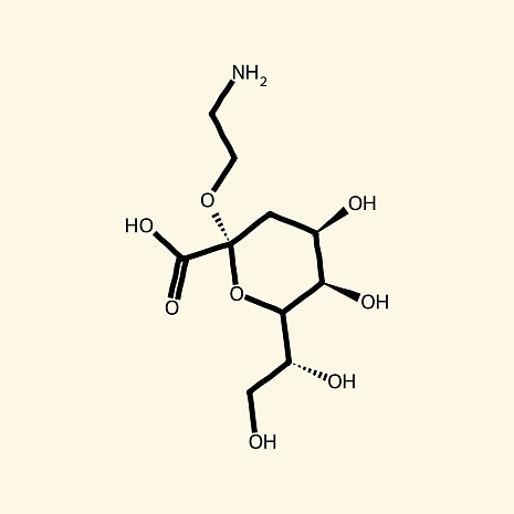 NCCO[C@]1(C(=O)O)C[C@@H](O)[C@@H](O)C([C@H](O)CO)O1